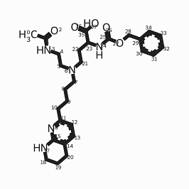 CC(=O)NCCN(CCCCc1ccc2c(n1)NCCC2)CCC(NC(=O)OCc1ccccc1)C(=O)O